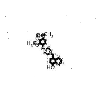 COc1ccc(CN2CCN(Cc3ccc(O)c4ncccc34)CC2)c(OC)c1OC